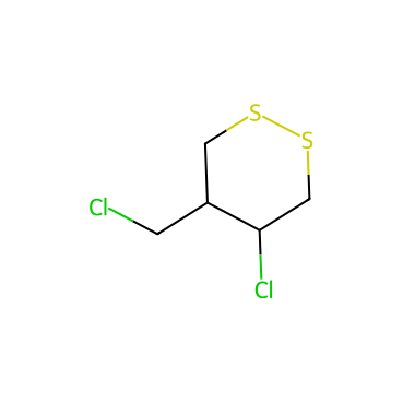 ClCC1CSSCC1Cl